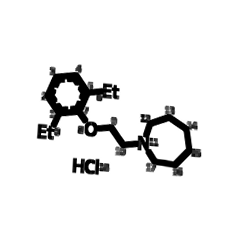 CCc1cccc(CC)c1OCCN1CCCCCC1.Cl